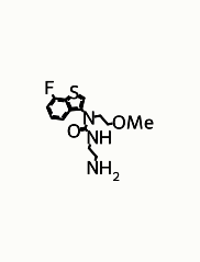 COCCN(C(=O)NCCN)c1csc2c(F)cccc12